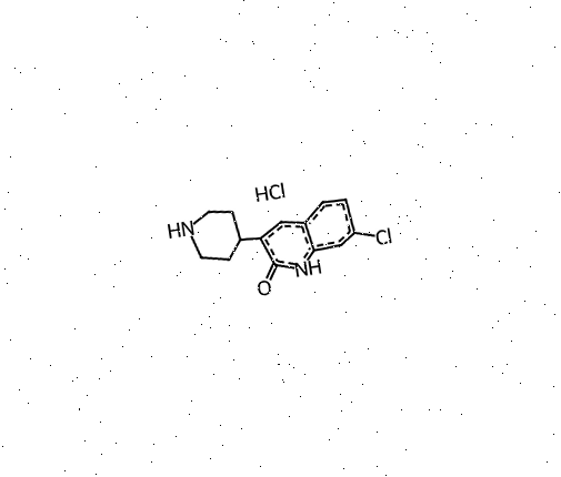 Cl.O=c1[nH]c2cc(Cl)ccc2cc1C1CCNCC1